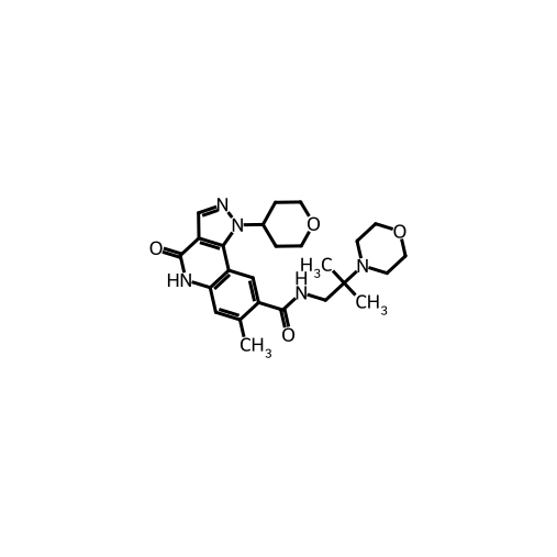 Cc1cc2[nH]c(=O)c3cnn(C4CCOCC4)c3c2cc1C(=O)NCC(C)(C)N1CCOCC1